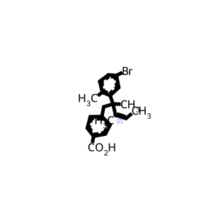 C/C=C(/C)C(C)(Cc1ccc(C(=O)O)cc1)c1cc(Br)ccc1C